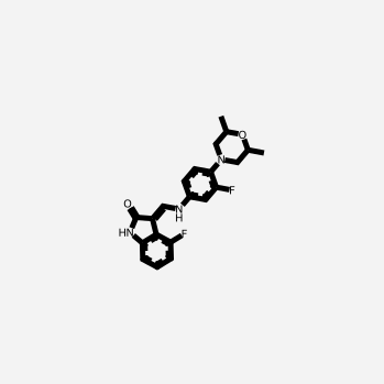 CC1CN(c2ccc(N/C=C3/C(=O)Nc4cccc(F)c43)cc2F)CC(C)O1